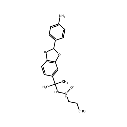 CC(C)(N[NH+]([O-])CCC=O)c1ccc2c(c1)OC(c1ccc(N)cc1)N2